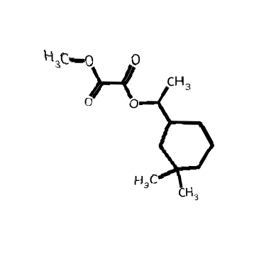 COC(=O)C(=O)OC(C)C1CCCC(C)(C)C1